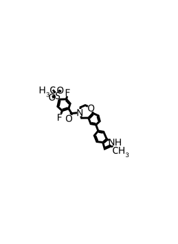 Cc1cc2ccc(-c3ccc4c(c3)CN(C(=O)c3cc(F)c(S(C)(=O)=O)cc3F)CCO4)cc2[nH]1